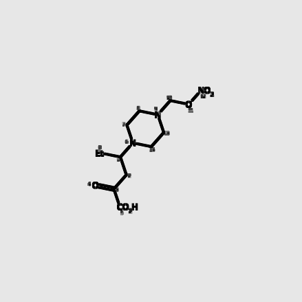 CCC(CC(=O)C(=O)O)N1CCN(CO[N+](=O)[O-])CC1